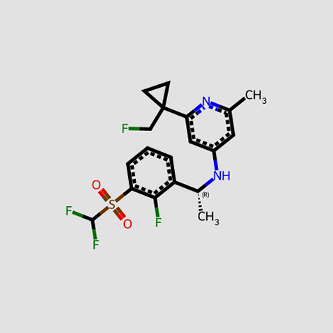 Cc1cc(N[C@H](C)c2cccc(S(=O)(=O)C(F)F)c2F)cc(C2(CF)CC2)n1